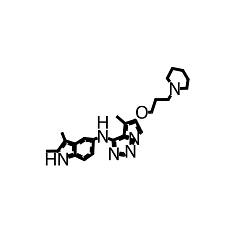 Cc1[nH]c2ccc(Nc3ncnn4cc(OCCCN5CCCCC5)c(C)c34)cc2c1C